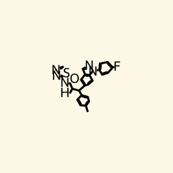 Cc1ccc(C(c2ccc3c(cnn3-c3ccc(F)cc3)c2)C(C)C(=O)Nc2nncs2)cc1